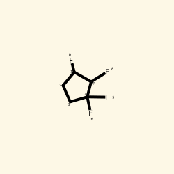 FC1[CH]CC(F)(F)C1F